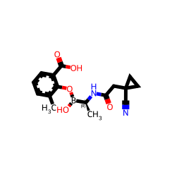 Cc1cccc(C(=O)O)c1OB(O)[C@H](C)NC(=O)CC1(C#N)CC1